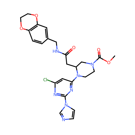 COC(=O)N1CCN(c2cc(Cl)nc(-n3ccnc3)n2)C(CC(=O)NCc2ccc3c(c2)OCCO3)C1